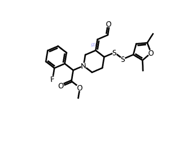 COC(=O)C(c1ccccc1F)N1CCC(SSc2cc(C)oc2C)/C(=C\C=O)C1